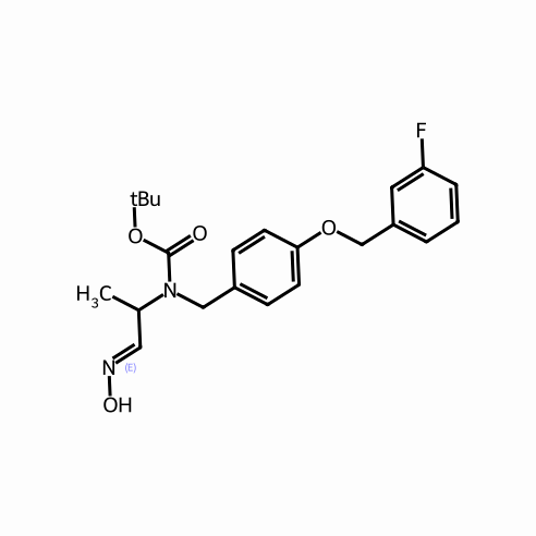 CC(/C=N/O)N(Cc1ccc(OCc2cccc(F)c2)cc1)C(=O)OC(C)(C)C